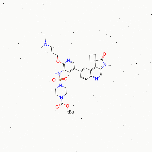 CN(C)CCCOc1ncc(-c2ccc3ncc4c(c3c2)C2(CCC2)C(=O)N4C)cc1NS(=O)(=O)N1CCN(C(=O)OC(C)(C)C)CC1